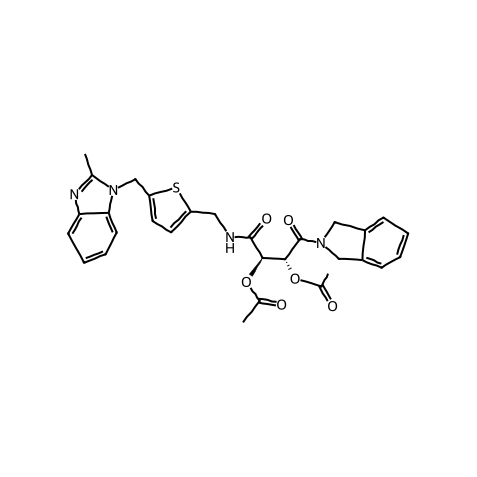 CC(=O)O[C@@H](C(=O)NCc1ccc(Cn2c(C)nc3ccccc32)s1)[C@@H](OC(C)=O)C(=O)N1Cc2ccccc2C1